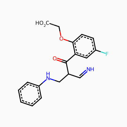 N=CC(CNc1ccccc1)C(=O)c1cc(F)ccc1OCC(=O)O